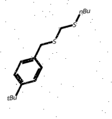 CCCCS[C]SCc1ccc(C(C)(C)C)cc1